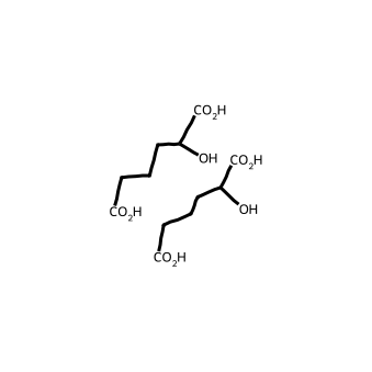 O=C(O)CCCC(O)C(=O)O.O=C(O)CCCC(O)C(=O)O